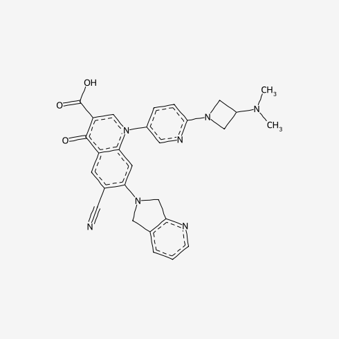 CN(C)C1CN(c2ccc(-n3cc(C(=O)O)c(=O)c4cc(C#N)c(N5Cc6cccnc6C5)cc43)cn2)C1